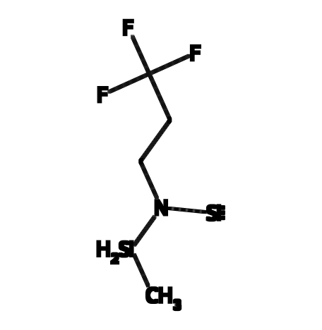 C[SiH2]N([Si])CCC(F)(F)F